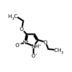 CCOC1=CC(OCC)=[N+]([O-])[NH+]1[O-]